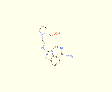 N=C(N)c1cccc2nc(NCCN3CCCC3CO)n(O)c12